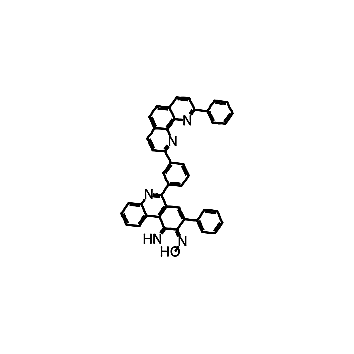 N=C1/C(=N\O)C(c2ccccc2)=Cc2c(-c3cccc(-c4ccc5ccc6ccc(-c7ccccc7)nc6c5n4)c3)nc3ccccc3c21